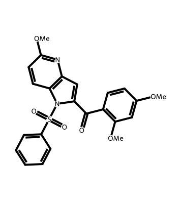 COc1ccc(C(=O)c2cc3nc(OC)ccc3n2S(=O)(=O)c2ccccc2)c(OC)c1